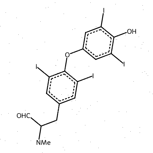 CNC(C=O)Cc1cc(I)c(Oc2cc(I)c(O)c(I)c2)c(I)c1